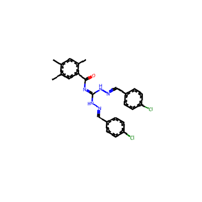 Cc1cc(C)c(C(=O)N=C(NN=Cc2ccc(Cl)cc2)NN=Cc2ccc(Cl)cc2)cc1C